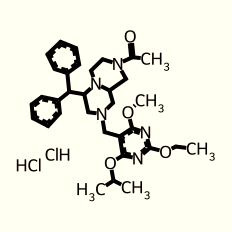 CCOc1nc(OC)c(CN2CC3CN(C(C)=O)CCN3C(C(c3ccccc3)c3ccccc3)C2)c(OC(C)C)n1.Cl.Cl